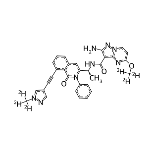 [2H]C([2H])([2H])Oc1ccn2nc(N)c(C(=O)N[C@@H](C)c3cc4cccc(C#Cc5cnn(C([2H])([2H])[2H])c5)c4c(=O)n3-c3ccccc3)c2n1